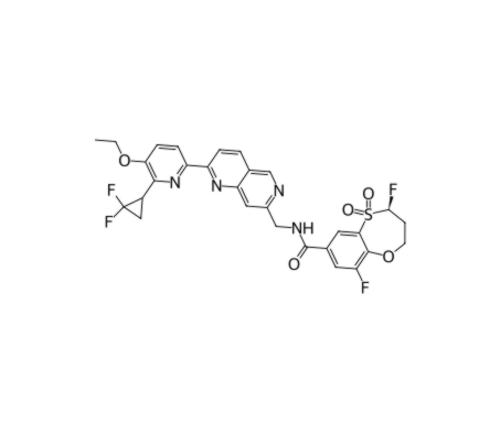 CCOc1ccc(-c2ccc3cnc(CNC(=O)c4cc(F)c5c(c4)S(=O)(=O)[C@@H](F)CCO5)cc3n2)nc1C1CC1(F)F